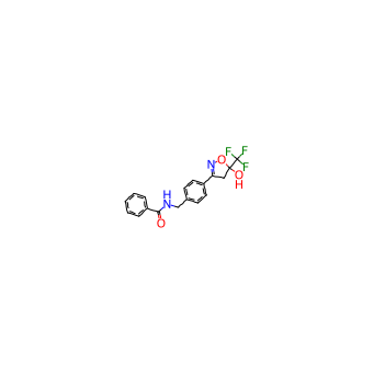 O=C(NCc1ccc(C2=NOC(O)(C(F)(F)F)C2)cc1)c1ccccc1